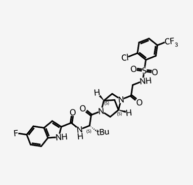 CC(C)(C)[C@H](NC(=O)c1cc2cc(F)ccc2[nH]1)C(=O)N1C[C@@H]2C[C@H]1CN2C(=O)CNS(=O)(=O)c1cc(C(F)(F)F)ccc1Cl